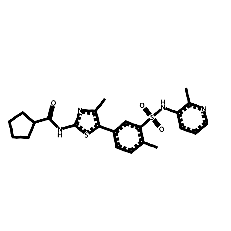 Cc1ccc(-c2sc(NC(=O)C3CCCC3)nc2C)cc1S(=O)(=O)Nc1cccnc1C